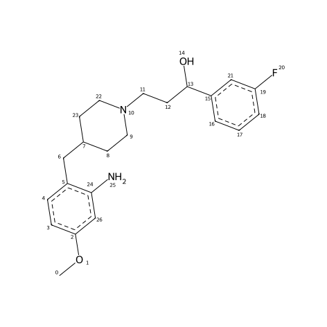 COc1ccc(CC2CCN(CCC(O)c3cccc(F)c3)CC2)c(N)c1